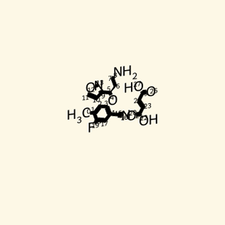 Cc1cc(O[C@H](CCN)c2ccon2)c(C#N)cc1F.O=C(O)C=CC(=O)O